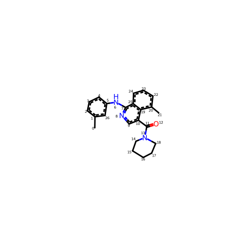 Cc1cccc(Nc2ncc(C(=O)N3CCCCC3)c3c(C)cccc23)c1